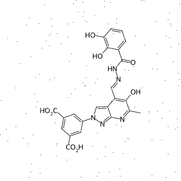 Cc1nc2nn(-c3cc(C(=O)O)cc(C(=O)O)c3)cc2c(C=NNC(=O)c2cccc(O)c2O)c1O